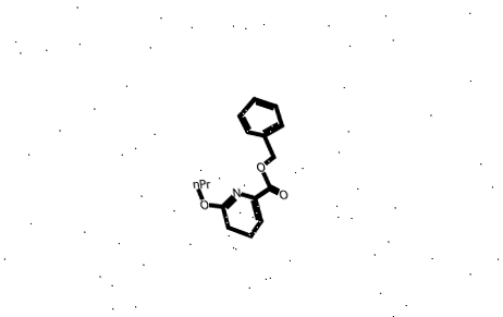 CCCOC1=NC(C(=O)OCc2ccccc2)=CCC1